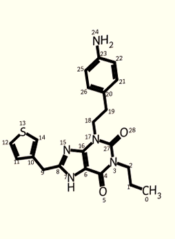 CCCn1c(=O)c2[nH]c(Cc3ccsc3)nc2n(CCc2ccc(N)cc2)c1=O